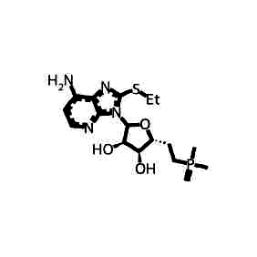 C=P(C)(C)CC[C@H]1OC(n2c(SCC)nc3c(N)ccnc32)[C@H](O)[C@@H]1O